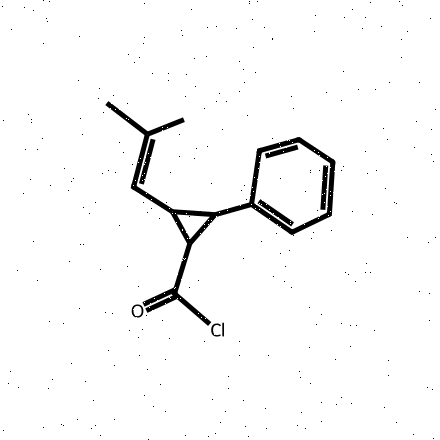 CC(C)=CC1C(C(=O)Cl)C1c1ccccc1